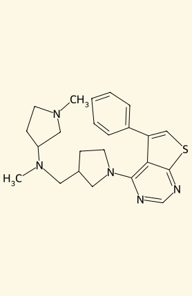 CN1CCC(N(C)CC2CCN(c3ncnc4scc(-c5ccccc5)c34)C2)C1